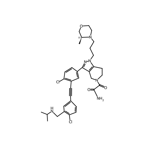 CC(C)NCc1cc(C#Cc2cc(-c3nn(CCCN4CCOC[C@@H]4C)c4c3CN(C(=O)C(N)=O)CC4)ccc2Cl)ccc1Cl